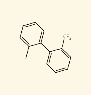 Cc1ccccc1-c1ccccc1C(F)(F)F